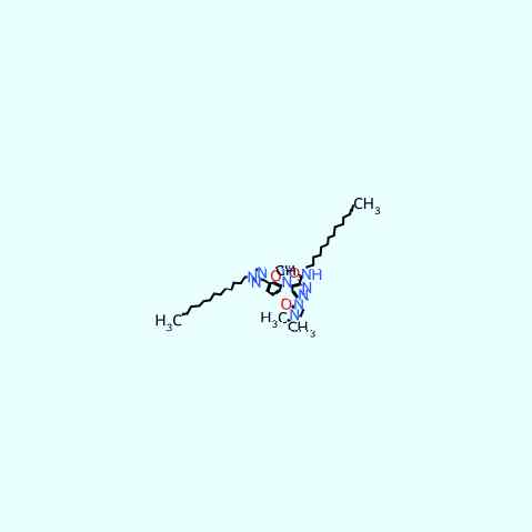 CCCCCCCCCCCCCCNC(=O)c1nnc(N2CCN(C(C)C)C2=O)cc1Nc1cccc(-c2ncn(CCCCCCCCCCCCCC)n2)c1OC